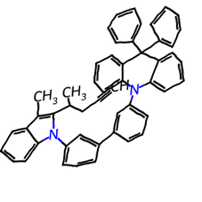 C#CCC(C)c1c(C)c2ccccc2n1-c1cccc(-c2cccc(N3c4ccccc4C(c4ccccc4)(c4ccccc4)c4ccccc43)c2)c1